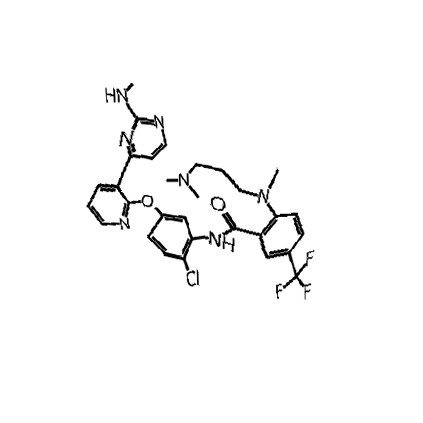 CNc1nccc(-c2cccnc2Oc2ccc(Cl)c(NC(=O)c3cc(C(F)(F)F)ccc3N(C)CCCN(C)C)c2)n1